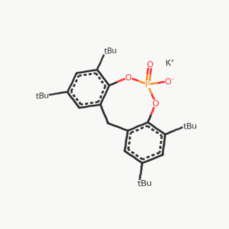 CC(C)(C)c1cc2c(c(C(C)(C)C)c1)OP(=O)([O-])Oc1c(cc(C(C)(C)C)cc1C(C)(C)C)C2.[K+]